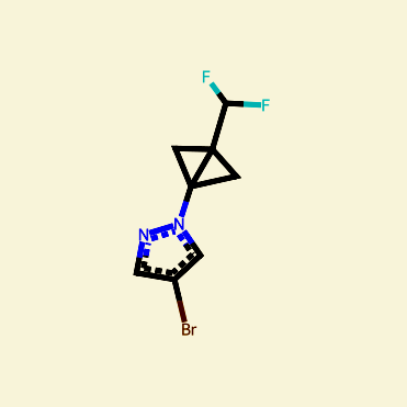 FC(F)C12CC1(n1cc(Br)cn1)C2